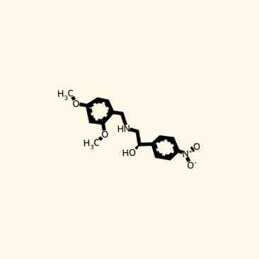 COc1ccc(CNC[C@H](O)c2ccc([N+](=O)[O-])cc2)c(OC)c1